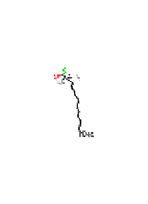 CCCCCCCCCCCCCCCCCCCCC(C)(C)C(=O)Cl